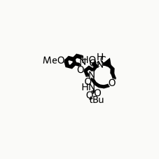 COc1ccc2c(OC3CC4C(=O)NC5(C(=O)O)CC5/C=C/COCCCC(NC(=O)OC(C)(C)C)C(=O)N4C3)nccc2c1